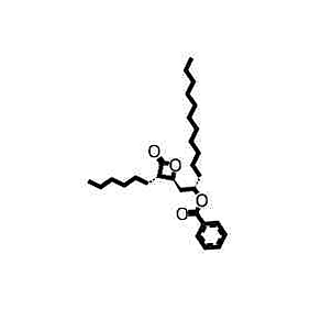 CCCCCCCCCCC[C@@H](C[C@@H]1OC(=O)[C@H]1CCCCCC)OC(=O)c1ccccc1